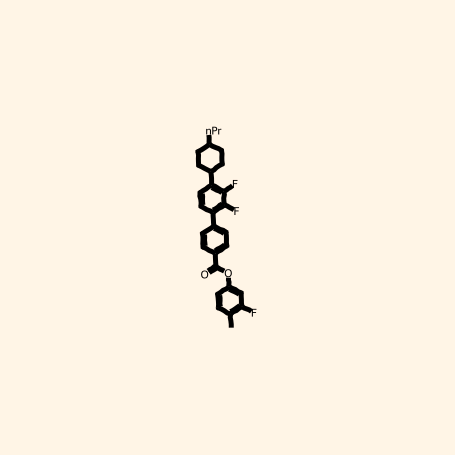 CCCC1CCC(c2ccc(-c3ccc(C(=O)Oc4ccc(C)c(F)c4)cc3)c(F)c2F)CC1